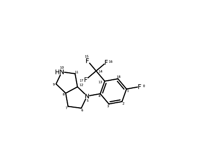 Fc1ccc(N2CCC3CNCC32)c(C(F)(F)F)c1